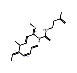 C=C/C=C\C(=C/C)C(C)C=C/C(=N\C)NC(=C)NCCC(=C)C